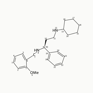 COc1ccccc1CN[C@@H](CCNC1CCCCC1)c1ccccc1